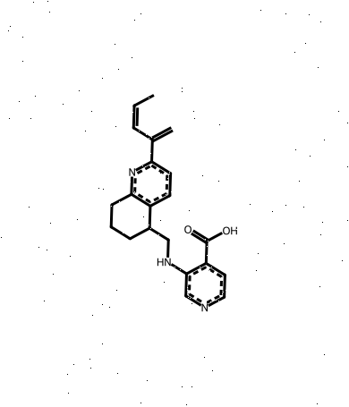 C=C(/C=C\C)c1ccc2c(n1)CCCC2CNc1cnccc1C(=O)O